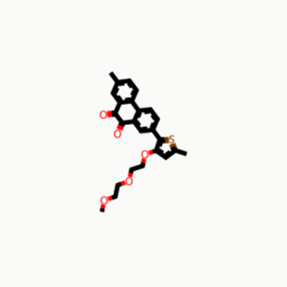 COCCOCCOc1cc(C)sc1-c1ccc2c(c1)C(=O)C(=O)c1cc(C)ccc1-2